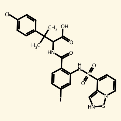 CC(C)(c1ccc(Cl)cc1)C(NC(=O)c1ccc(I)cc1NS(=O)(=O)C1=CC=CN2SNC=C12)C(=O)O